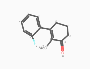 COC1=C(c2ccccc2F)CCCC1=O